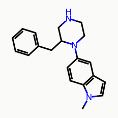 Cn1ccc2cc(N3CCNCC3Cc3ccccc3)ccc21